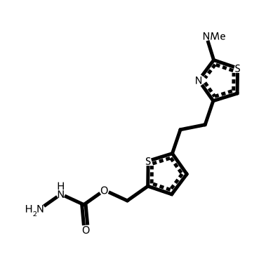 CNc1nc(CCc2ccc(COC(=O)NN)s2)cs1